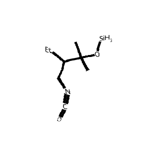 CCC(CN=C=O)C(C)(C)O[SiH3]